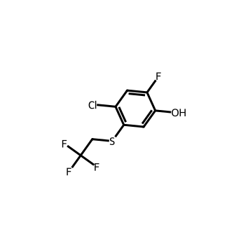 Oc1cc(SCC(F)(F)F)c(Cl)cc1F